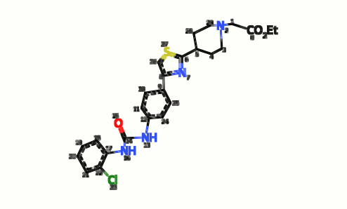 CCOC(=O)CN1CCC(c2nc(-c3ccc(NC(=O)Nc4ccccc4Cl)cc3)cs2)CC1